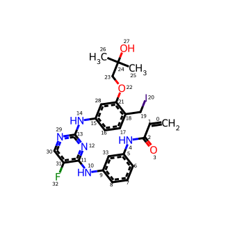 C=CC(=O)Nc1cccc(Nc2nc(Nc3ccc(CI)c(OCC(C)(C)O)c3)ncc2F)c1